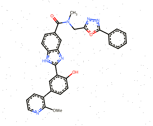 COc1ncccc1-c1ccc(O)c(-c2nc3cc(C(=O)N(C)Cc4nnc(-c5ccccc5)o4)ccc3[nH]2)c1